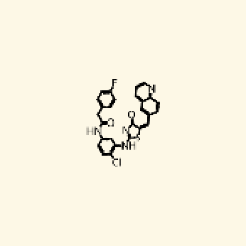 O=C(Cc1ccc(F)cc1)Nc1ccc(Cl)c(NC2=NC(=O)C(=Cc3ccc4ncccc4c3)S2)c1